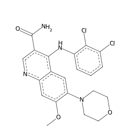 COc1cc2ncc(C(N)=O)c(Nc3cccc(Cl)c3Cl)c2cc1N1CCOCC1